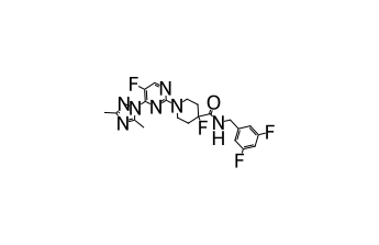 Cc1nc(C)n(-c2nc(N3CCC(F)(C(=O)NCc4cc(F)cc(F)c4)CC3)ncc2F)n1